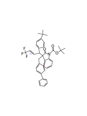 CC(C)(C)OC(=O)N1C(=O)C(Cc2ccc(-c3ccccc3)cc2)(C(/C=C/C(F)(F)F)c2ccc(C(C)(C)C)cc2)c2ccccc21